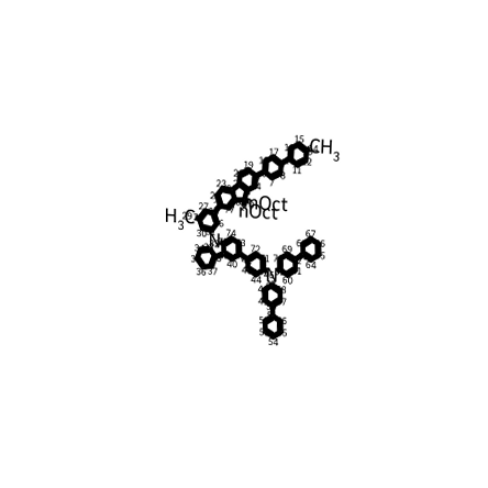 CCCCCCCCC1(CCCCCCCC)c2cc(-c3ccc(-c4ccc(C)cc4)cc3)ccc2-c2ccc(-c3cc(C)cc(-n4c5ccccc5c5cc(-c6ccc(N(c7ccc(-c8ccccc8)cc7)c7ccc(-c8ccccc8)cc7)cc6)ccc54)c3)cc21